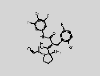 CC1(/C(O)=C(\Cc2cc(F)ccc2Br)C(=O)Nc2cc(F)c(Br)c(F)c2)CCCN1NC=O